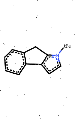 CC(C)(C)n1ccc2c1Cc1ccccc1-2